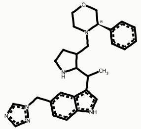 CC(c1c[nH]c2ccc(Cn3cncn3)cc12)C1NCCC1CN1CCOC[C@H]1c1ccccc1